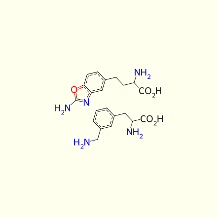 NCc1cccc(CC(N)C(=O)O)c1.Nc1nc2cc(CCC(N)C(=O)O)ccc2o1